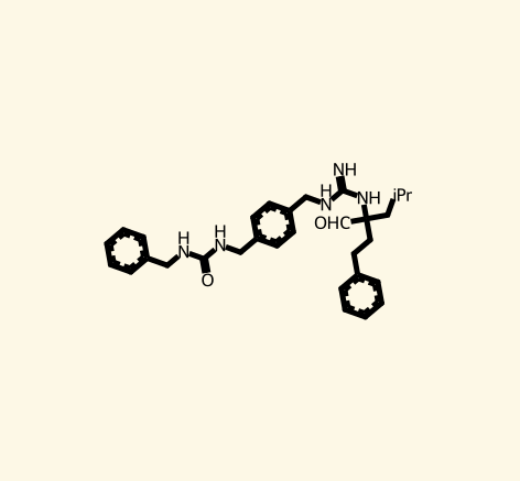 CC(C)CC(C=O)(CCc1ccccc1)NC(=N)NCc1ccc(CNC(=O)NCc2ccccc2)cc1